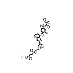 O=CC1(C(=O)Nc2ccc(Oc3ccnc4cc(-c5cnn(CCOC(=O)CCC(=O)O)c5)sc34)c(F)c2)CC1